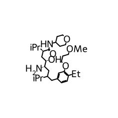 CCc1ccc(CC(C[C@H](N)[C@@H](O)C[C@H](C(=O)NC2CCOCC2)C(C)C)C(C)C)cc1OCCCOC